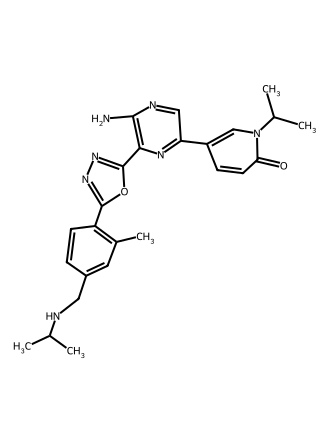 Cc1cc(CNC(C)C)ccc1-c1nnc(-c2nc(-c3ccc(=O)n(C(C)C)c3)cnc2N)o1